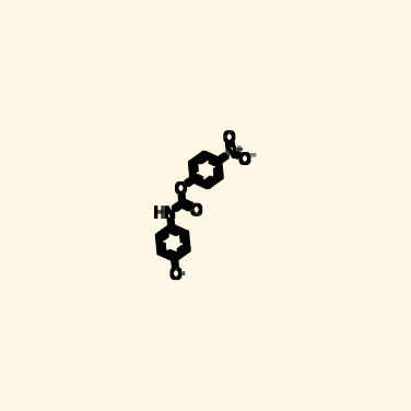 [O]c1ccc(NC(=O)Oc2ccc([N+](=O)[O-])cc2)cc1